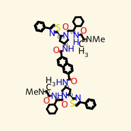 CN[C@@H](C)C(=O)N[C@H](C(=O)N1C[C@@H](NC(=O)c2ccc3cc(C(=O)N[C@H]4C[C@@H](c5nc(-c6ccccc6)cs5)N(C(=O)[C@@H](NC(=O)[C@H](C)NC)C5CCCCC5)C4)ccc3c2)C[C@H]1c1nc(-c2ccccc2)cs1)C1CCCCC1